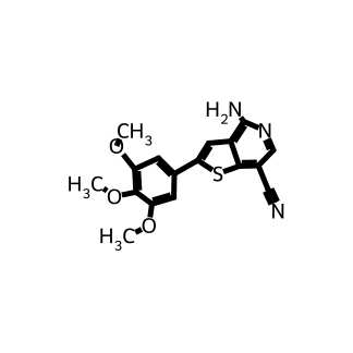 COc1cc(-c2cc3c(N)ncc(C#N)c3s2)cc(OC)c1OC